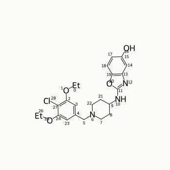 CCOc1cc(CN2CCC(Nc3nc4cc(O)ccc4o3)CC2)cc(OCC)c1Cl